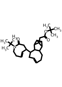 CC(C)(C)OC(=O)CC1C2C=CC1C1C(C3/C=C/CCN(C(C)(C)C)C(=O)C3)C/C=C/CCC21